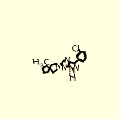 C[C@@H]1CCCC12CCN(c1cnc3c(-c4cccc(Cl)c4)n[nH]c3n1)CC2